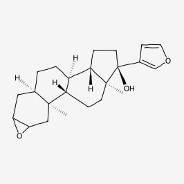 C[C@]12CC3OC3C[C@H]1CC[C@@H]1[C@@H]2CC[C@@]2(C)[C@H]1CC[C@]2(O)c1ccoc1